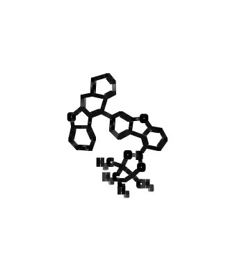 CC1(C)OB(c2cccc3oc4cc(-c5c6ccccc6cc6oc7ccccc7c56)ccc4c23)OC1(C)C